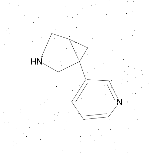 [c]1ncccc1C12CNCC1C2